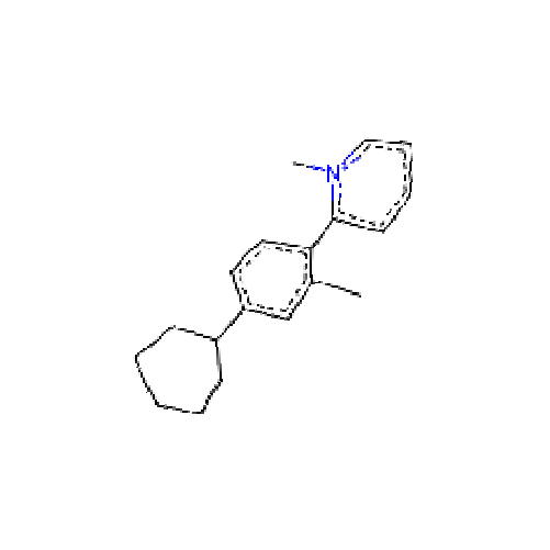 Cc1cc(C2CCCCC2)ccc1-c1cccc[n+]1C